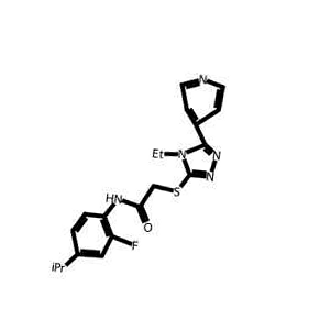 CCn1c(SCC(=O)Nc2ccc(C(C)C)cc2F)nnc1-c1ccncc1